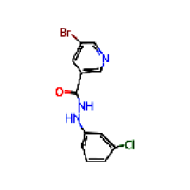 O=C(NNc1cccc(Cl)c1)c1cncc(Br)c1